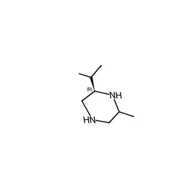 CC1CNC[C@@H](C(C)C)N1